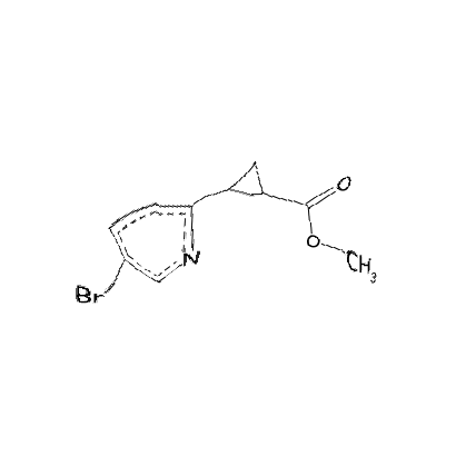 COC(=O)C1CC1c1ccc(Br)cn1